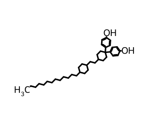 CCCCCCCCCCCCCC1CCC(CCC2CCC(c3ccc(O)cc3)(c3ccc(O)cc3)CC2)CC1